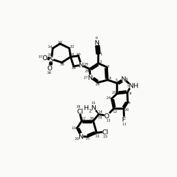 N#Cc1cc(-c2n[nH]c3cc(F)c(O[C@H](N)c4c(Cl)cncc4Cl)cc23)cnc1N1CC2(CCCS(=O)(=O)C2)C1